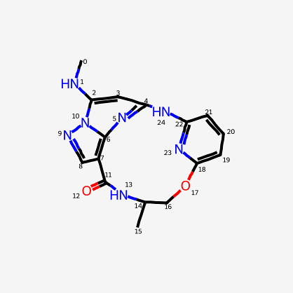 CNc1cc2nc3c(cnn13)C(=O)NC(C)COc1cccc(n1)N2